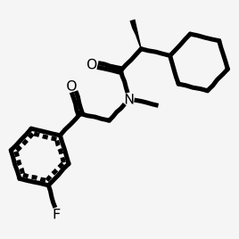 C[C@H](C(=O)N(C)CC(=O)c1cccc(F)c1)C1CCCCC1